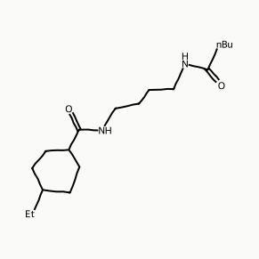 CCCCC(=O)NCCCCNC(=O)C1CCC(CC)CC1